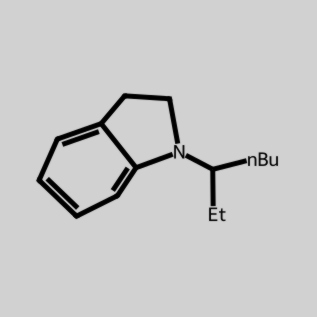 CCCCC(CC)N1CCc2ccccc21